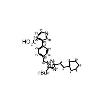 CCCCc1nc(CCC2CCCCC2)nn1Cc1ccc(-c2cnccc2C(=O)O)cc1